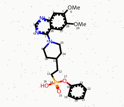 COc1cc2ncnc(N3CCC(CCP(=O)(O)Oc4ccccc4)CC3)c2cc1OC